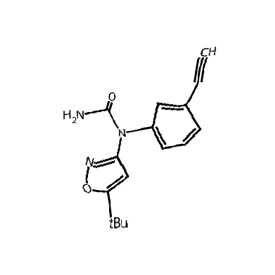 C#Cc1cccc(N(C(N)=O)c2cc(C(C)(C)C)on2)c1